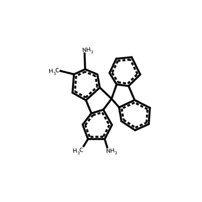 Cc1cc2c(cc1N)C1(c3ccccc3-c3ccccc31)c1cc(N)c(C)cc1-2